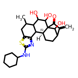 C=C1C(=O)C23C(O)C1CC[C@H]2C1c2nc(NC4CCCCC4)sc2CC(C)C1C(O)C3O